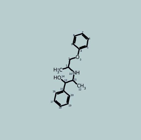 CC(COc1ccccc1)NC(C)C(O)c1ccccc1